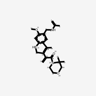 C=C(C)NCc1cc2c(cc1OC)BCC(C(=C)C(=O)N1CCOCC1(C)C)=C2C